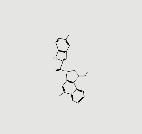 O=C(c1cc2cc(Cl)ccc2[nH]1)N1CC(CCl)c2c1cc(O)c1ccccc21